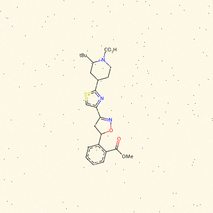 COC(=O)c1ccccc1C1CC(c2csc(C3CCN(C(=O)O)C(C(C)(C)C)C3)n2)=NO1